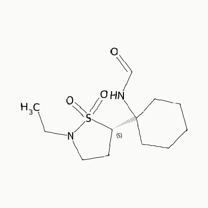 CCN1CC[C@@H](C2(NC=O)CCCCC2)S1(=O)=O